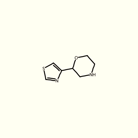 c1nc(C2CNCCO2)cs1